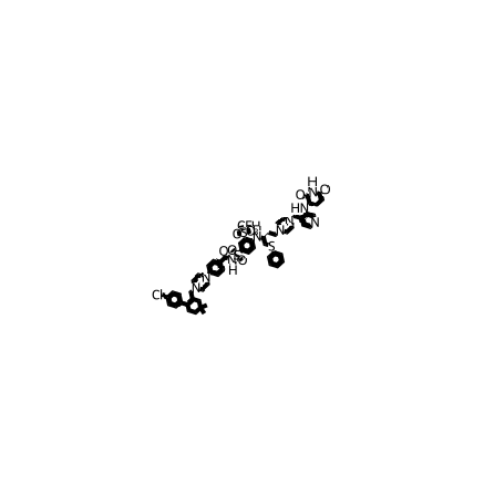 CC1(C)CCC(c2ccc(Cl)cc2)=C(CN2CCN(c3ccc(C(=O)NS(=O)(=O)c4ccc(N[C@H](CCN5CCN(Cc6ccncc6NC6CCC(=O)NC6=O)CC5)CSc5ccccc5)c(S(=O)(=O)C(F)(F)F)c4)cc3)CC2)C1